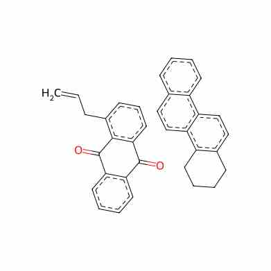 C=CCc1cccc2c1C(=O)c1ccccc1C2=O.c1ccc2c(c1)ccc1c3c(ccc12)CCCC3